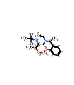 CCN(C[C@@H](NC(C)(C)C)[C@@H](C)O)[C@@H](C)c1ccccc1OC